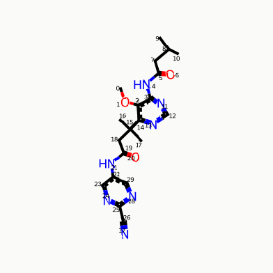 COc1c(NC(=O)CC(C)C)ncnc1C(C)(C)CC(=O)Nc1cnc(C#N)nc1